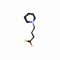 [O-]C(=S)CCC[n+]1ccccc1